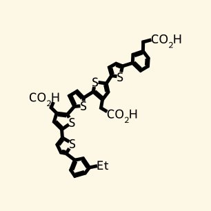 CCc1cccc(-c2ccc(-c3cc(CC(=O)O)c(-c4ccc(-c5sc(-c6ccc(-c7cccc(CC(=O)O)c7)s6)cc5CC(=O)O)s4)s3)s2)c1